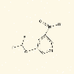 O=[N+]([O-])c1cncc(OC(F)F)c1